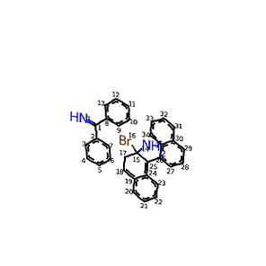 N=C(c1ccccc1)c1ccccc1.NC1(Br)CC=c2ccccc2=C1c1cccc2ccccc12